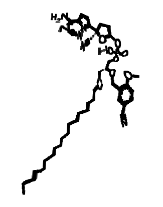 CCCCCCCCCCCCCCCCCCOC[C@H](COP(=O)(O)O[C@@H]1CC[C@](C#N)(c2ccc3c(N)ncnn23)O1)OCc1cc(C#N)ccc1OC